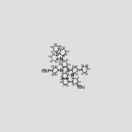 Cc1cc2c3c(c1)N(c1ccc(C(C)(C)C)cc1-c1ccccc1)c1cc(-c4ccccc4)ccc1B3c1ccc(N3c4ccccc4C4(c5ccccc5)CCCCC34C)cc1N2c1ccc(C(C)(C)C)cc1